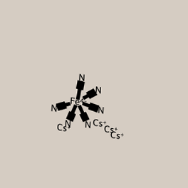 N#[C][Fe-4]([C]#N)([C]#N)([C]#N)([C]#N)[C]#N.[Cs+].[Cs+].[Cs+].[Cs+]